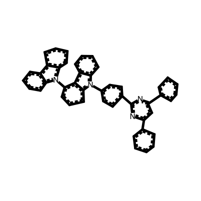 c1ccc(-c2cc(-c3ccccc3)nc(-c3ccc(-n4c5ccccc5c5c(-n6c7ccccc7c7ccccc76)cccc54)cc3)n2)cc1